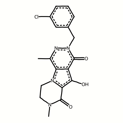 Cc1nn(Cc2cccc(Cl)c2)c(=O)c2c(O)c3n(c12)CCN(C)C3=O